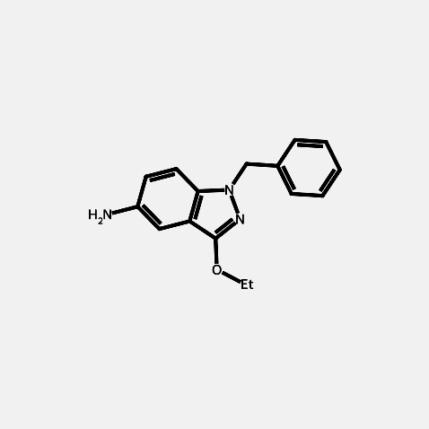 CCOc1nn(Cc2ccccc2)c2ccc(N)cc12